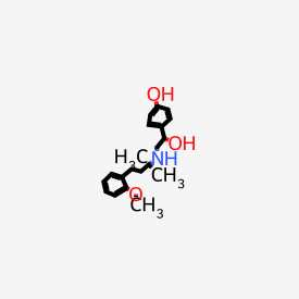 COc1ccccc1CCC(C)(C)NCC(O)c1ccc(O)cc1